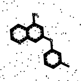 Cc1cccc(Oc2cc(N)c3cccnc3c2)c1